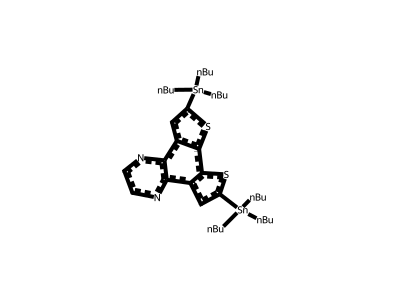 CCC[CH2][Sn]([CH2]CCC)([CH2]CCC)[c]1cc2c3nccnc3c3c[c]([Sn]([CH2]CCC)([CH2]CCC)[CH2]CCC)sc3c2s1